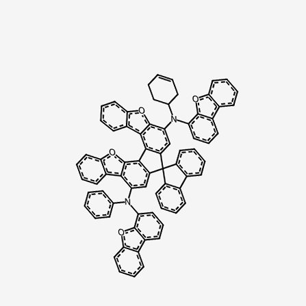 C1=CCC(N(c2cccc3c2oc2ccccc23)c2cc3c(c4c2oc2ccccc24)-c2c(cc(N(c4ccccc4)c4cccc5c4oc4ccccc45)c4c2oc2ccccc24)C32c3ccccc3-c3ccccc32)CC1